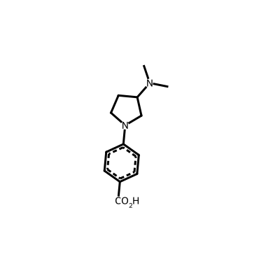 CN(C)C1CCN(c2ccc(C(=O)O)cc2)C1